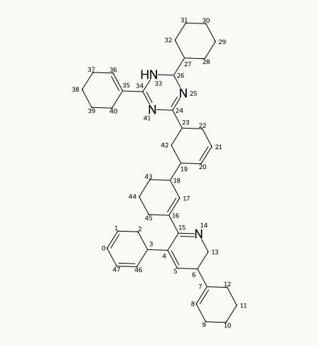 C1=CCC(C2=CC(C3=CCCCC3)CN=C2C2=CC(C3C=CCC(C4=NC(C5CCCCC5)NC(C5=CCCCC5)=N4)C3)CCC2)C=C1